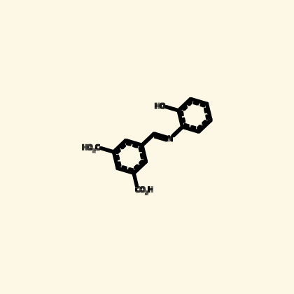 O=C(O)c1cc(/C=N/c2ccccc2O)cc(C(=O)O)c1